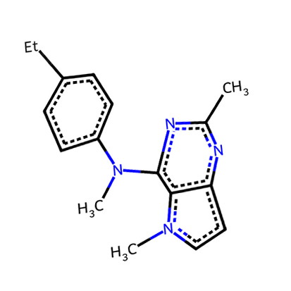 CCc1ccc(N(C)c2nc(C)nc3ccn(C)c23)cc1